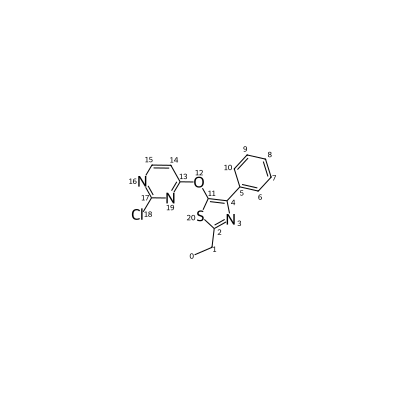 CCc1nc(-c2ccccc2)c(Oc2ccnc(Cl)n2)s1